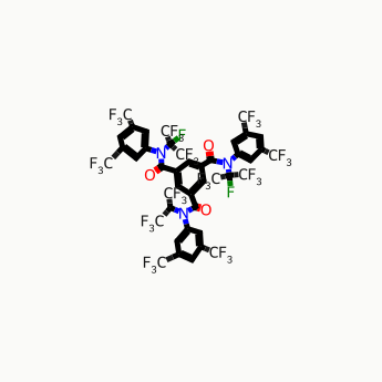 O=C(c1cc(C(=O)N(c2cc(C(F)(F)F)cc(C(F)(F)F)c2)C(F)(C(F)(F)F)C(F)(F)F)cc(C(=O)N(c2cc(C(F)(F)F)cc(C(F)(F)F)c2)C(F)(C(F)(F)F)C(F)(F)F)c1)N(c1cc(C(F)(F)F)cc(C(F)(F)F)c1)C(C(F)(F)F)C(F)(F)F